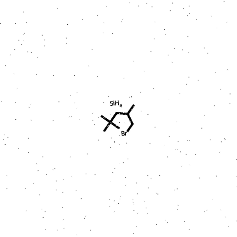 CC(CBr)CC(C)(C)C.[SiH4]